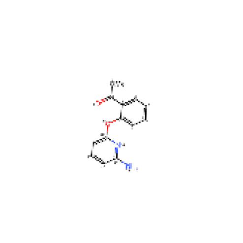 COC(=O)c1ccccc1Oc1cccc(N)n1